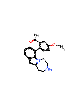 COc1ccc(-c2cccc3cc4n(c23)CCNCC4)c(C(C)=O)c1